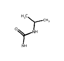 CC(C)NC([NH])=O